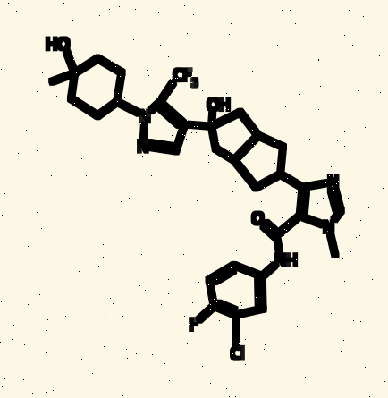 Cn1cnc(C2CC3CC(O)(c4cnn(C5CCC(C)(O)CC5)c4C(F)(F)F)CC3C2)c1C(=O)Nc1ccc(F)c(Cl)c1